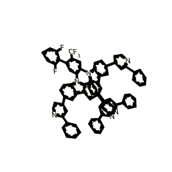 Fc1cccc(F)c1-c1cc(-n2c3ccc(-c4ccnc(-c5ccccc5)c4)cc3c3cc(-c4ccnc(-c5ccccc5)c4)ccc32)c(-n2c3ccc(-c4ccnc(-c5ccccc5)c4)cc3c3cc(-c4ccnc(-c5ccccc5)c4)ccc32)cc1C(F)(F)F